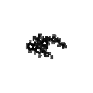 C[C@@H]1Cc2c([nH]c3ccccc23)[C@@H](c2ncc(NC3CN(CCCF)C3)cc2OC(F)F)N1CC(F)(F)F